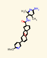 COc1ccc(-c2ccc3c(c2)c2oc3c3ccc(C(=O)NCc4c(C)cc(N)nc4C)cc32)cn1